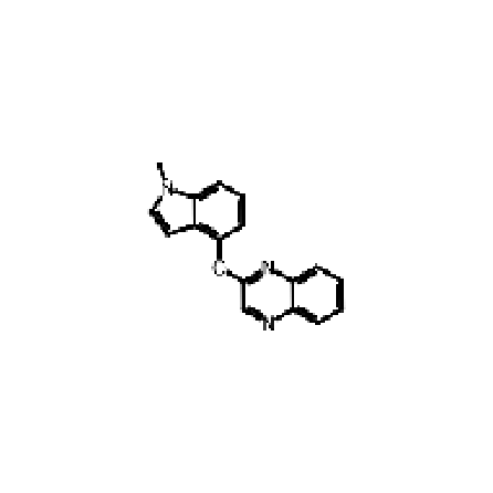 Cn1ccc2c(Oc3cnc4ccccc4n3)cccc21